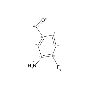 Nc1cc(C=O)ccc1F